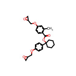 Cc1cc(OCC2CO2)ccc1C(=O)OC1(c2ccc(OCC3CO3)cc2)CCCCC1